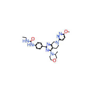 CCNC(=O)Nc1ccc(-c2nc3c(c(N4CCOC[C@@H]4C)n2)CCN(c2ccc(OC)nn2)C3)cc1